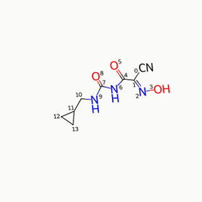 N#CC(=NO)C(=O)NC(=O)NCC1CC1